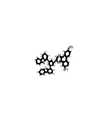 CC(C)c1ccc2c3ccc(C(C)C)cc3c3nc(-c4cc(-c5cccc6c5sc5ccccc56)cc(-c5cccc6c5sc5ccccc56)c4)cnc3c2c1